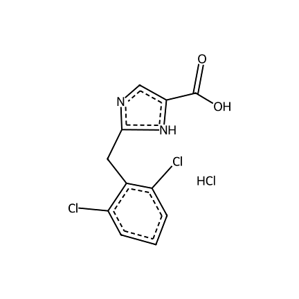 Cl.O=C(O)c1cnc(Cc2c(Cl)cccc2Cl)[nH]1